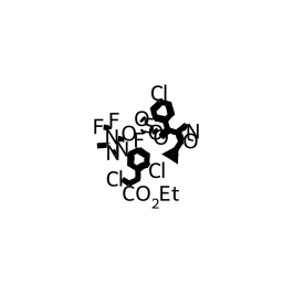 CCOC(=O)C(Cl)Cc1cc(-n2nc(C)n(C(F)F)c2=O)c(F)cc1Cl.CS(=O)(=O)c1cc(Cl)ccc1C(=O)c1cnoc1C1CC1